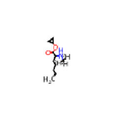 [2H]C([2H])([2H])NC(CCCC=C)C(=O)OC1CC1